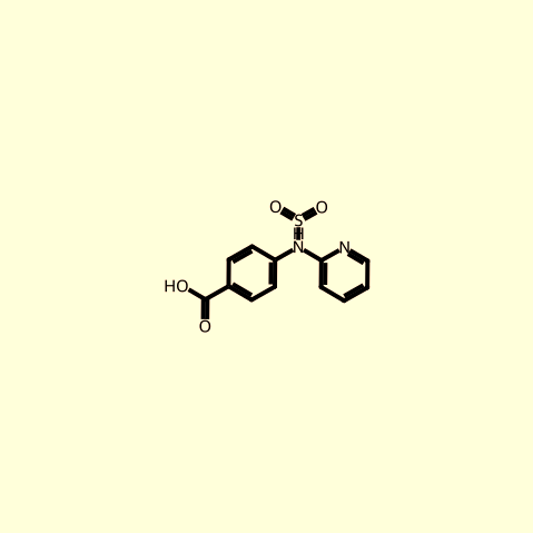 O=C(O)c1ccc(N(c2ccccn2)[SH](=O)=O)cc1